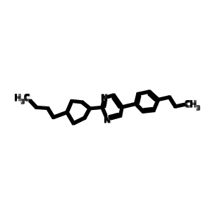 CCCCC1CCC(c2ncc(-c3ccc(CCC)cc3)cn2)CC1